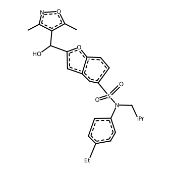 CCc1ccc(N(CC(C)C)S(=O)(=O)c2ccc3oc(C(O)c4c(C)noc4C)cc3c2)cc1